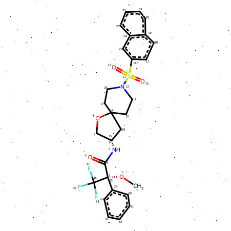 CO[C@](C(=O)N[C@@H]1COC2(CCN(S(=O)(=O)c3ccc4ccccc4c3)CC2)C1)(c1ccccc1)C(F)(F)F